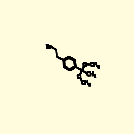 COC(C)(OC)c1ccc(CCBr)cc1